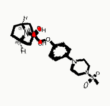 CS(=O)(=O)N1CCN(c2ccc(OC[C@]3(O)C[C@H]4CC[C@@H](C3)N4C(=O)O)cc2)CC1